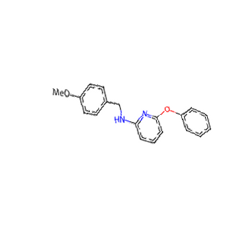 COc1ccc(CNc2cccc(Oc3ccccc3)n2)cc1